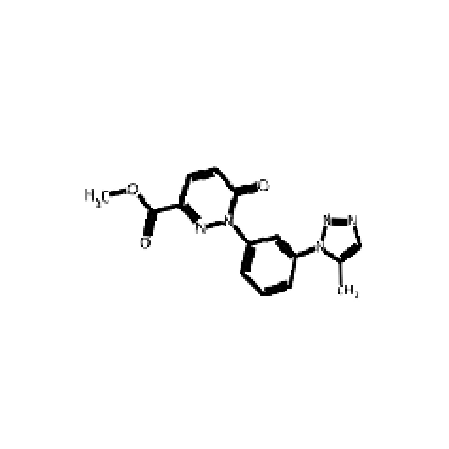 COC(=O)c1ccc(=O)n(-c2cccc(-n3nncc3C)c2)n1